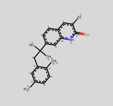 CCc1cc2ccc(C(C)(C#N)Cc3cc(C)ccc3C)cc2[nH]c1=O